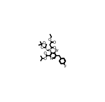 CCOC(=O)CC(=O)N(C[C@H]1COC(C)(C)O1)c1c(C(=O)OC(C)C)ncc(Cc2ccc(F)cc2)c1Br